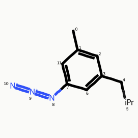 Cc1cc(CC(C)C)cc(N=[N+]=[N-])c1